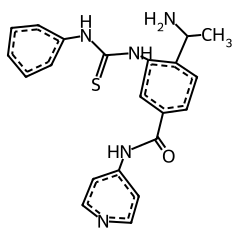 CC(N)c1ccc(C(=O)Nc2ccncc2)cc1NC(=S)Nc1ccccc1